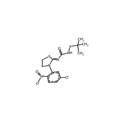 CC(C)(C)SNC(=O)N=C1SCCN1c1cc(Cl)ccc1[N+](=O)[O-]